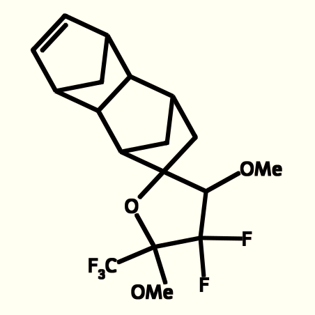 COC1C2(CC3CC2C2C4C=CC(C4)C32)OC(OC)(C(F)(F)F)C1(F)F